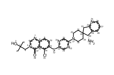 CC(C)(O)Cn1cnc2ccc(Sc3cnc(N4CCC5(CC4)Cc4ncccc4[C@@H]5N)cn3)c(Cl)c2c1=O